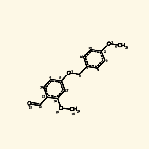 COc1ccc(COc2ccc(C=O)c(OC)c2)cc1